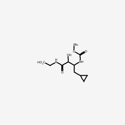 CC(C)(C)OC(=O)NC(CC1CC1)C(O)C(=O)NCC(=O)O